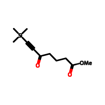 COC(=O)CCCC(=O)C#C[Si](C)(C)C